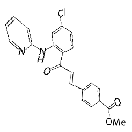 COC(=O)c1ccc(C=CC(=O)c2ccc(Cl)cc2Nc2ccccn2)cc1